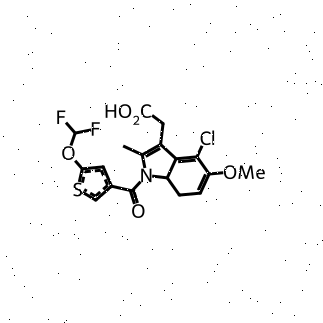 COC1=CCC2C(=C1Cl)C(CC(=O)O)=C(C)N2C(=O)c1csc(OC(F)F)c1